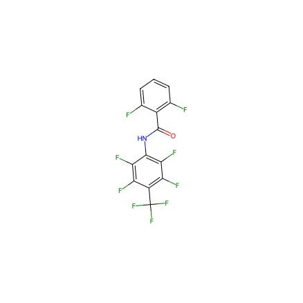 O=C(Nc1c(F)c(F)c(C(F)(F)F)c(F)c1F)c1c(F)cccc1F